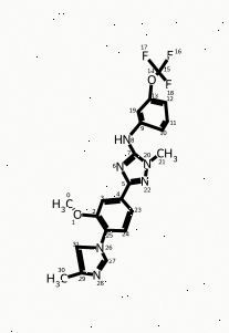 COc1cc(-c2nc(Nc3cccc(OC(F)(F)F)c3)n(C)n2)ccc1-n1cnc(C)c1